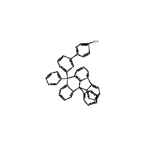 N#Cc1ccc(-c2cccc(C3(c4ccccc4)c4ccccc4C4(c5ccccc5)c5ccccc5-c5cccc3c54)c2)cc1